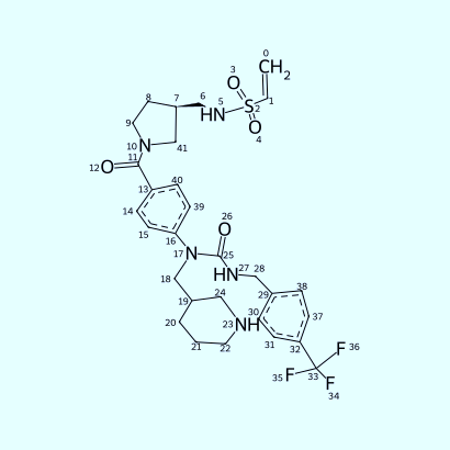 C=CS(=O)(=O)NC[C@@H]1CCN(C(=O)c2ccc(N(CC3CCCNC3)C(=O)NCc3ccc(C(F)(F)F)cc3)cc2)C1